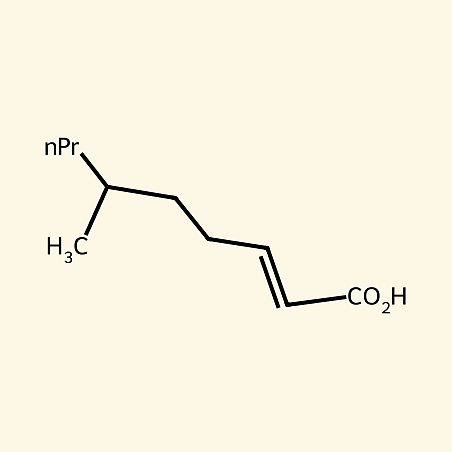 CCCC(C)CCC=CC(=O)O